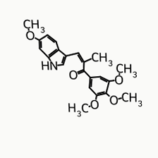 COc1ccc2c(C=C(C)C(=O)c3cc(OC)c(OC)c(OC)c3)c[nH]c2c1